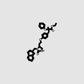 CCOC(=O)C(C)(Cc1ccc(OCCC2CNC(=O)N2Cc2ccc3ccccc3c2)cc1)Oc1ccccc1